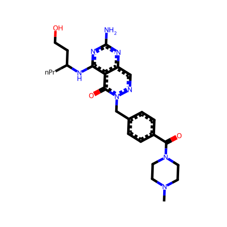 CCCC(CCO)Nc1nc(N)nc2cnn(Cc3ccc(C(=O)N4CCN(C)CC4)cc3)c(=O)c12